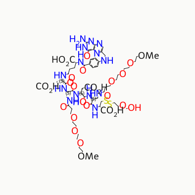 COCCOCCOCCOCCC(=O)NC[C@H](NC(=O)[C@H](CC(=O)O)NC(=O)[C@H](CNC(=O)CCOCCOCCOCCOC)NC(=O)[C@H](CC(=O)O)NC(=O)CCC(NC(=O)c1ccc(NCc2cnc3nc(N)[nH]c(=O)c3n2)cc1)C(=O)O)C(=O)NC(CSSCCOCO)C(=O)O